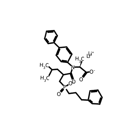 CC(C)CC(CP(=O)([O-])CCCc1ccccc1)C(=O)N(c1ccc(-c2ccccc2)cc1)[C@@H](C)C(=O)[O-].[Li+].[Li+]